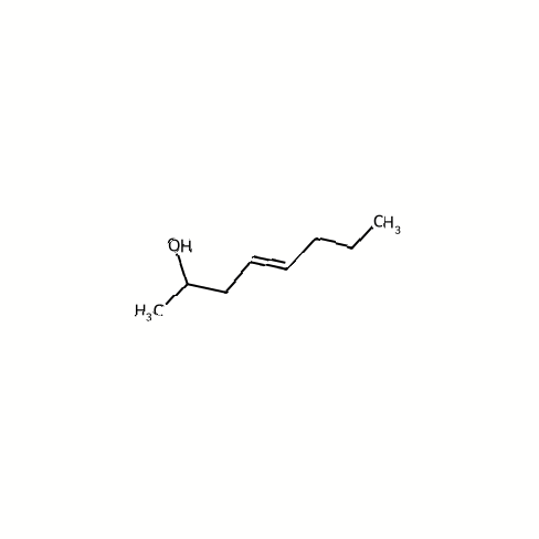 CCC/C=C/CC(C)O